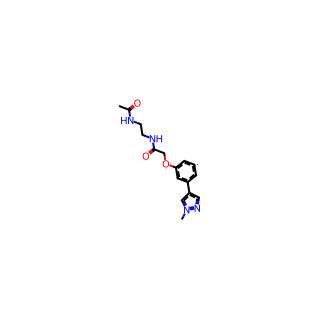 CC(=O)NCCNC(=O)COc1c[c]cc(-c2cnn(C)c2)c1